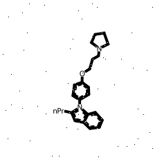 CCCc1cc2ccccc2n1-c1ccc(OCCCN2CCCC2)cc1